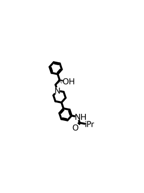 CC(C)C(=O)Nc1cccc(C2CCN(C[C@H](O)c3ccccc3)CC2)c1